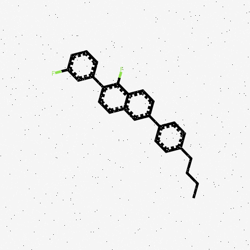 CCCCc1ccc(-c2ccc3c(F)c(-c4cccc(F)c4)ccc3c2)cc1